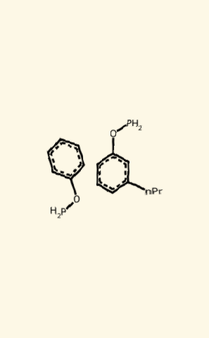 CCCc1cccc(OP)c1.POc1ccccc1